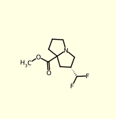 COC(=O)C12CCCN1C[C@H](C(F)F)C2